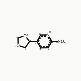 O=[N+]([O-])c1ccc(C2COCO2)cn1